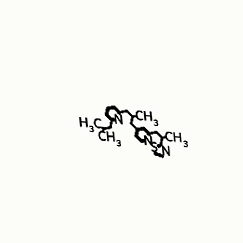 CC(C)Cc1cccc(CC(C)Cc2ccnc(CC(C)c3nccs3)c2)n1